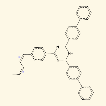 C/C=C\C=C/c1ccc(C2=NC(c3ccc(-c4ccccc4)cc3)NC(c3ccc(-c4ccccc4)cc3)=N2)cc1